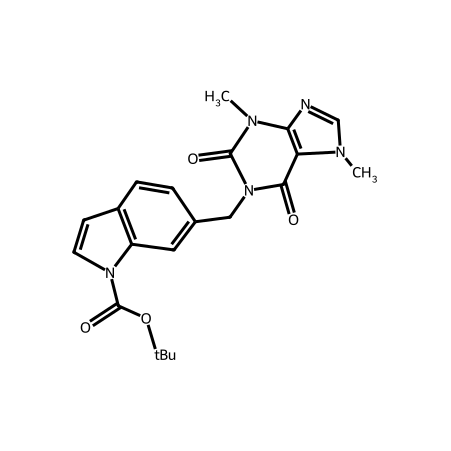 Cn1cnc2c1c(=O)n(Cc1ccc3ccn(C(=O)OC(C)(C)C)c3c1)c(=O)n2C